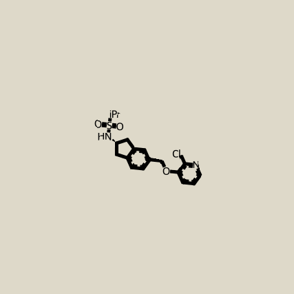 CC(C)S(=O)(=O)N[C@H]1Cc2ccc(COc3cccnc3Cl)cc2C1